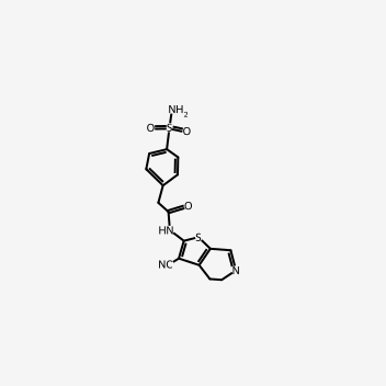 N#Cc1c(NC(=O)Cc2ccc(S(N)(=O)=O)cc2)sc2c1CCN=C2